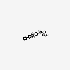 O=C(NO)c1cnc(C2CCN(S(=O)(=O)c3ccc(-c4ccccc4)cc3)CC2)s1